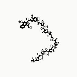 CC(=O)Nc1cn(C)c(C(=O)Nc2cn(C)c(C(=O)Nc3cc(C(=O)Nc4cc(C(=O)NCCCC(=O)Nc5cn(C)c(C(=O)Nc6cc(C(=O)Nc7ccc8[nH]c(C(=O)N9CC(CCl)c%10c9cc(O)c9ccccc%109)cc8c7)n(C)c6)n5)n(C)c4)n(C)c3)n2)n1